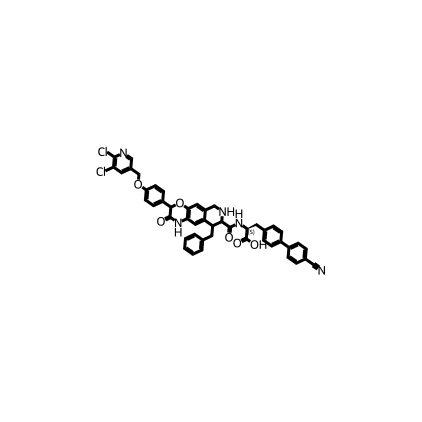 N#Cc1ccc(-c2ccc(C[C@H](NC(=O)C3NCc4cc5c(cc4C3Cc3ccccc3)NC(=O)C(c3ccc(OCc4cnc(Cl)c(Cl)c4)cc3)O5)C(=O)O)cc2)cc1